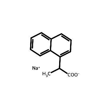 CC(C(=O)[O-])c1cccc2ccccc12.[Na+]